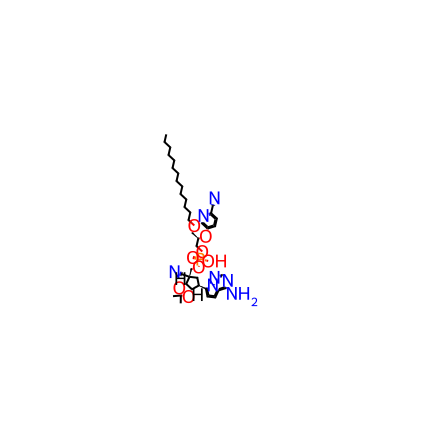 CCCCCCCCCCCCCCOC[C@H](COP(=O)(O)OC[C@@]1(C#N)C[C@@H](c2ccc3c(N)ncnn23)[C@@H]2OC(C)(C)O[C@@H]21)Oc1ccc(C#N)nc1